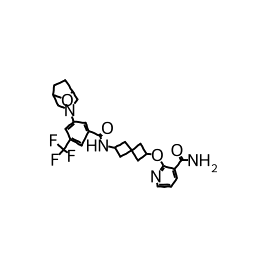 NC(=O)c1cccnc1OC1CC2(CC(NC(=O)c3cc(N4CC5CCC(C4)O5)cc(C(F)(F)F)c3)C2)C1